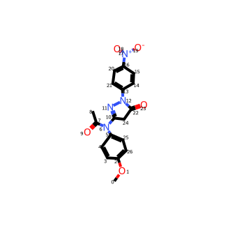 COc1ccc(N(C(C)=O)C2=NN(c3ccc([N+](=O)[O-])cc3)C(=O)C2)cc1